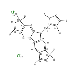 CC1=CC(C)[C]([Zr+2][CH]2c3cc4c(cc3-c3cc5c(cc32)C(C)(C)C=C5C)C(C)=CC4(C)C)=C1C.[Cl-].[Cl-]